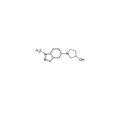 Cn1ncc2cc(N3CCC(O)C3)ccc21